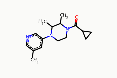 Cc1cncc(N2CCN(C(=O)C3CC3)C(C)C2C)c1